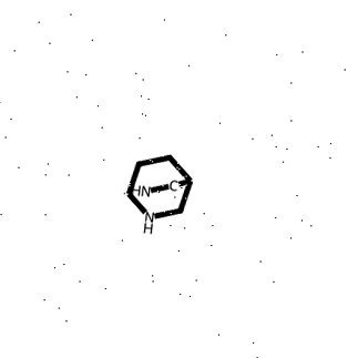 C1CC2CN[C]1NC2